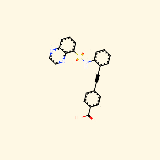 O=C(O)c1ccc(C#Cc2ccccc2NS(=O)(=O)c2cccc3nccnc23)cc1